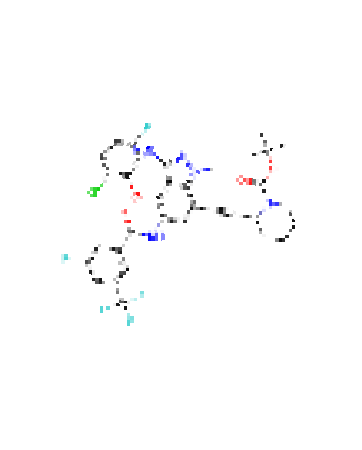 Cn1nc(N)c2c(Oc3cc(F)ccc3Cl)c(NC(=O)c3cc(F)cc(C(F)(F)F)c3)cc(C#CC3CCCCN3C(=O)OC(C)(C)C)c21